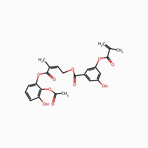 C=C(C)C(=O)Oc1cc(O)cc(C(=O)OCC=C(C)C(=O)Oc2cccc(O)c2OC(C)=O)c1